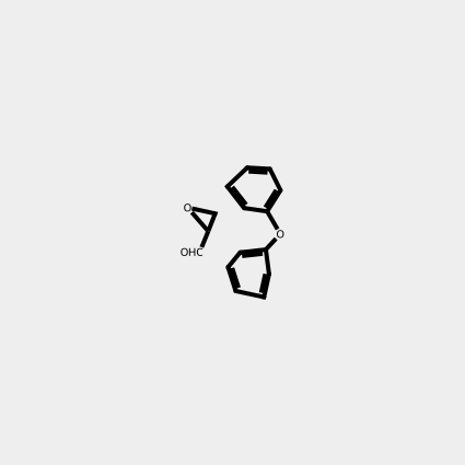 O=CC1CO1.c1ccc(Oc2ccccc2)cc1